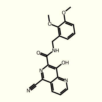 COc1cccc(CNC(=O)c2nc(C#N)c3cccnc3c2O)c1OC